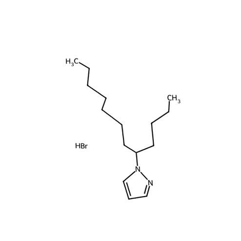 Br.CCCCCCCC(CCCC)n1cccn1